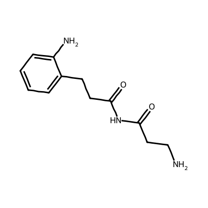 NCCC(=O)NC(=O)CCc1ccccc1N